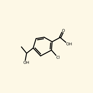 CC(O)c1ccc(C(=O)O)c(Cl)c1